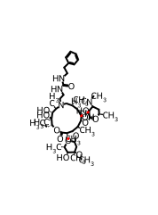 CC[C@H]1OC(=O)[C@H](C)[C@@H](O[C@H]2C[C@@](C)(OC)[C@@H](O)[C@H](C)O2)[C@H](C)[C@@H](O[C@@H]2O[C@H](C)C[C@H](N(C)C)[C@H]2O)[C@](C)(O)C[C@@H](C)CN(CCNC(=O)NCCc2ccccc2)[C@H](C)[C@@H](O)[C@]1(C)O